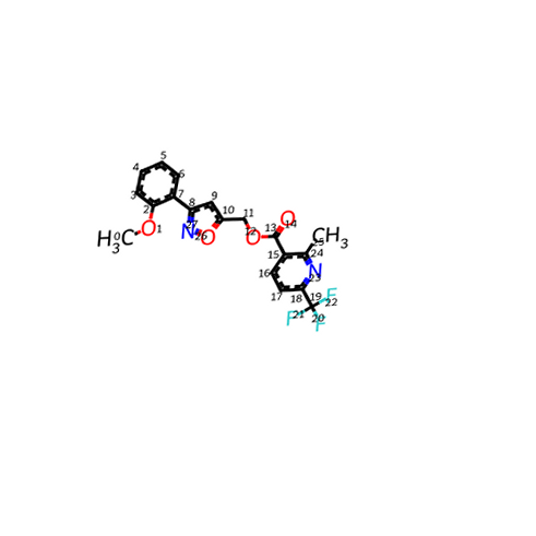 COc1ccccc1-c1cc(COC(=O)c2ccc(C(F)(F)F)nc2C)on1